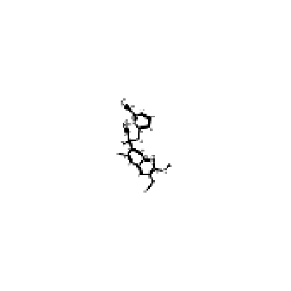 CCc1cc2cc(C)c(C(C)(C#N)Cc3cccc(C#N)n3)cc2nc1OC